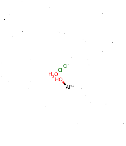 O.[Cl-].[Cl-].[OH][Al+2]